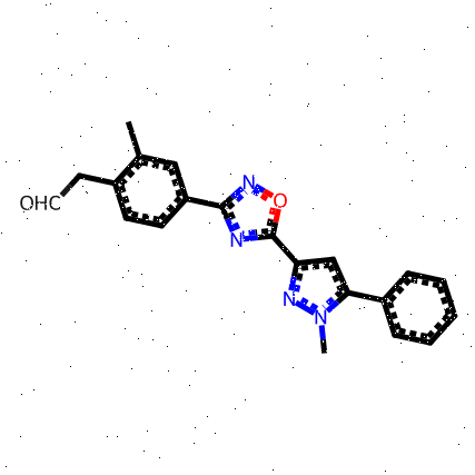 Cc1cc(-c2noc(-c3cc(-c4ccccc4)n(C)n3)n2)ccc1CC=O